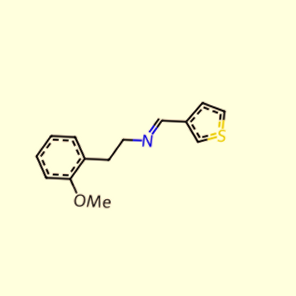 COc1ccccc1CCN=Cc1ccsc1